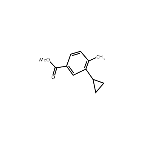 COC(=O)c1ccc(C)c(C2CC2)c1